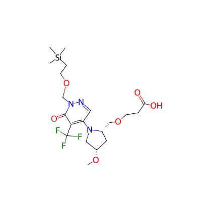 CO[C@H]1C[C@@H](COCCC(=O)O)N(c2cnn(COCC[Si](C)(C)C)c(=O)c2C(F)(F)F)C1